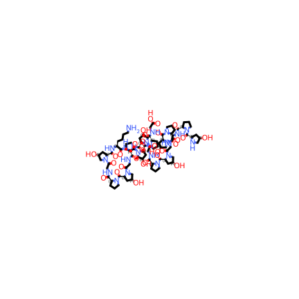 NCCCC[C@H](NC(=O)[C@@H]1C[C@@H](O)CN1C(=O)CNC(=O)[C@@H]1CCCN1C(=O)[C@@H]1C[C@@H](O)CN1C(=O)CNC(=O)[C@@H]1CCCN1C(=O)[C@@H]1C[C@@H](O)CN1C(=O)CNC(=O)[C@@H]1CCCN1C(=O)[C@@H]1C[C@@H](O)CN1C(=O)CNC(=O)[C@@H]1CCCN1C(=O)[C@@H]1C[C@@H](O)CN1C(=O)CNC(=O)[C@@H]1CCCN1C(=O)[C@@H]1C[C@@H](O)CN1)C(=O)NCC(=O)N1C[C@H](O)C[C@H]1C(=O)N1CCC[C@H]1C(=O)NCC(=O)O